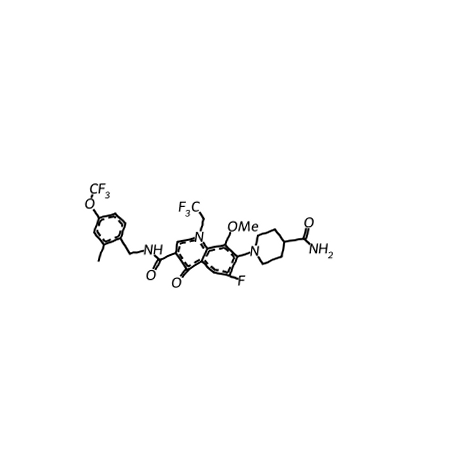 COc1c(N2CCC(C(N)=O)CC2)c(F)cc2c(=O)c(C(=O)NCc3ccc(OC(F)(F)F)cc3C)cn(CC(F)(F)F)c12